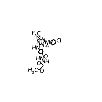 CC1OC1CC(=O)NNC(=O)c1ccc(Nc2nc(NC3(c4ccc(Cl)cc4)CC3)nc(OCC(F)(F)F)n2)cc1